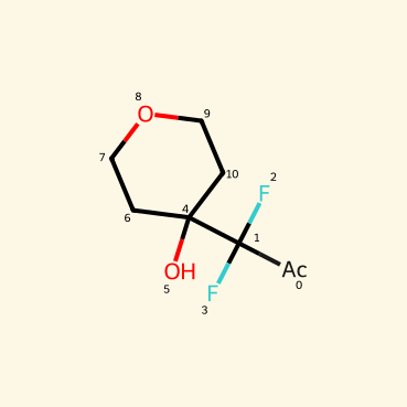 CC(=O)C(F)(F)C1(O)CCOCC1